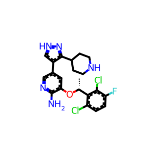 C[C@@H](Oc1cc(-c2c[nH]nc2C2CCNCC2)cnc1N)c1c(Cl)ccc(F)c1Cl